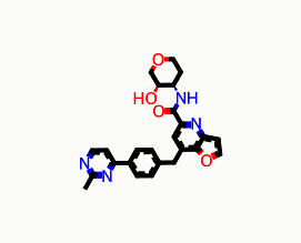 Cc1nccc(-c2ccc(Cc3cc(C(=O)N[C@H]4CCOC[C@@H]4O)nc4ccoc34)cc2)n1